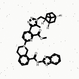 COC(=O)c1nc(N2CCc3cccc(C(=O)Nc4nc5ccccc5s4)c3C2)ccc1-c1nnn(C[C@@H]2CC[C@H]3C[C@H]2C3(C)C)c1C